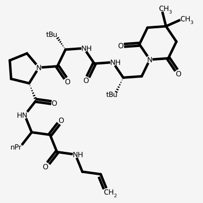 C=CCNC(=O)C(=O)C(CCC)NC(=O)[C@@H]1CCCN1C(=O)[C@@H](NC(=O)N[C@H](CN1C(=O)CC(C)(C)CC1=O)C(C)(C)C)C(C)(C)C